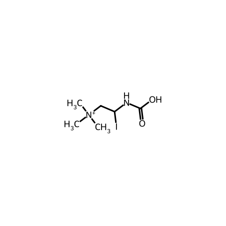 C[N+](C)(C)CC(I)NC(=O)O